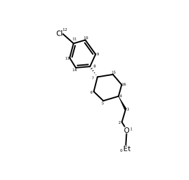 CCOCC[C@H]1CC[C@H](c2ccc(Cl)cc2)CC1